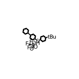 CC(C)(C)c1ccc(Sc2ccc(-c3ccccc3)cc2)cc1.O=S(=O)(O)C(F)(F)F